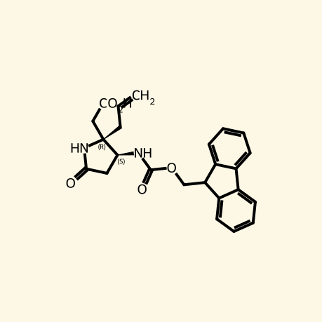 C=CC[C@]1(CC(=O)O)NC(=O)C[C@@H]1NC(=O)OCC1c2ccccc2-c2ccccc21